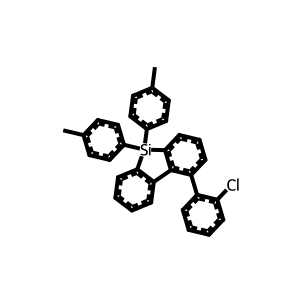 Cc1ccc([Si]2(c3ccc(C)cc3)c3ccccc3-c3c(-c4ccccc4Cl)cccc32)cc1